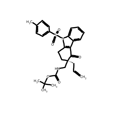 C=CC[C@]1(CNC(=O)OC(C)(C)C)CCc2c(c3ccccc3n2S(=O)(=O)c2ccc(C)cc2)C1=O